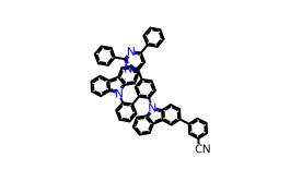 N#Cc1cccc(-c2ccc3c(c2)c2ccccc2n3-c2ccc(-c3cc(-c4ccccc4)nc(-c4ccccc4)n3)cc2-c2ccccc2-n2c3ccccc3c3ccccc32)c1